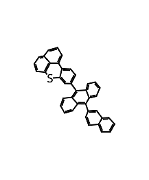 c1ccc2cc(-c3c4ccccc4c(-c4ccc5c(c4)Sc4cccc6cccc-5c46)c4ccccc34)ccc2c1